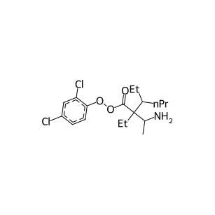 CCCC(CC)C(CC)(C(=O)OOc1ccc(Cl)cc1Cl)C(C)N